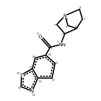 O=C(NC1CN2CCC1C2)c1ccc2ncsc2c1